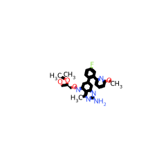 COc1cccc(-c2cc(F)ccc2C2C/C(=N\OC[C@H]3COC(C)(C)O3)c3c(C)nc(N)nc3C2)n1